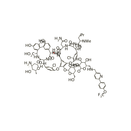 CN[C@H](CC(C)C)C(=O)NC1C(=O)NC(CC(N)=O)C(=O)N[C@H]2C(=O)N[C@H]3C(=O)N[C@H](C(=O)NC(C(=O)O)c4cc(O)cc(O)c4-c4cc3ccc4O)[C@H](O[C@H]3C[C@](C)(N)[C@@H](O)[C@H](C)O3)c3ccc(c(Cl)c3)Oc3cc2cc(c3O[C@@H]2O[C@H](CO)[C@@H](O[C@@H]3O[C@H](CNCc4ccc(-c5ccc(OC(F)(F)F)cc5)nc4)[C@H](O)[C@H](O)[C@H]3O)[C@H](O)[C@H]2O)Oc2ccc(cc2Cl)[C@H]1O